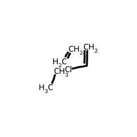 C=C.C=CCl.CC